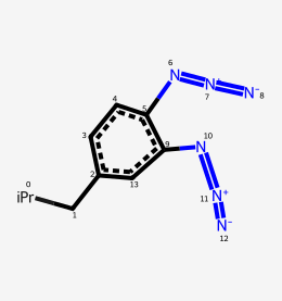 CC(C)Cc1ccc(N=[N+]=[N-])c(N=[N+]=[N-])c1